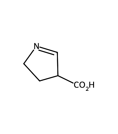 O=C(O)C1C=NCC1